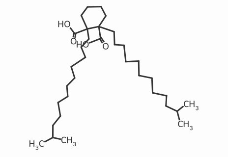 CC(C)CCCCCCCCCCC1(C(=O)O)CCCCC1(CCCCCCCCCCC(C)C)C(=O)O